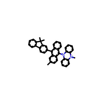 Cc1ccc2c(N3c4ccccc4N(C)c4ccccc43)c3ccccc3c(-c3ccc4c(c3)C(C)(C)c3ccccc3-4)c2c1